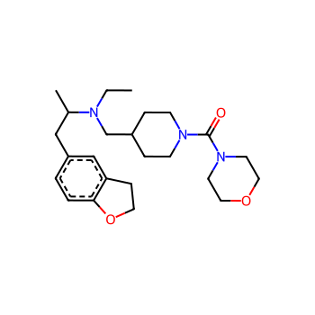 CCN(CC1CCN(C(=O)N2CCOCC2)CC1)C(C)Cc1ccc2c(c1)CCO2